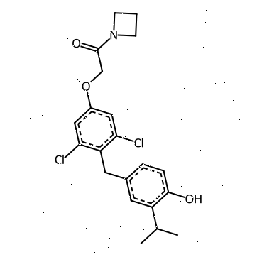 CC(C)c1cc(Cc2c(Cl)cc(OCC(=O)N3CCC3)cc2Cl)ccc1O